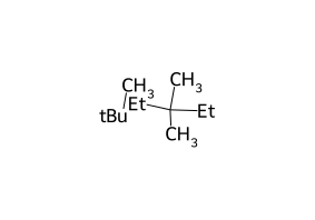 CC(C)(C)C.CCC(C)(C)CC